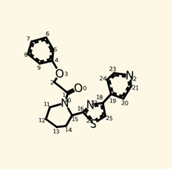 O=C(COc1ccccc1)N1CCCCC1c1nc(-c2ccncc2)cs1